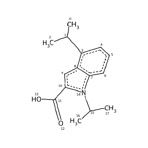 CC(C)c1cccc2c1cc(C(=O)O)n2C(C)C